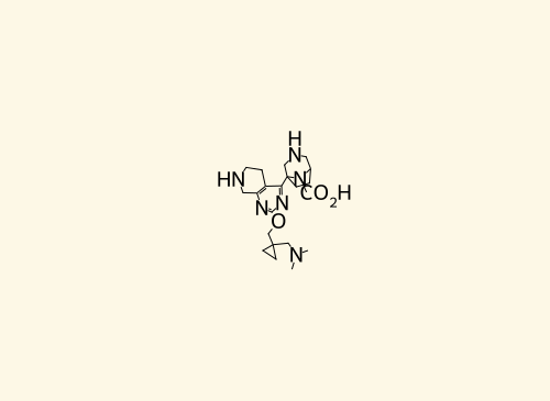 CN(C)CC1(COc2nc3c(c(C45CCC(CNC4)N5C(=O)O)n2)CCNC3)CC1